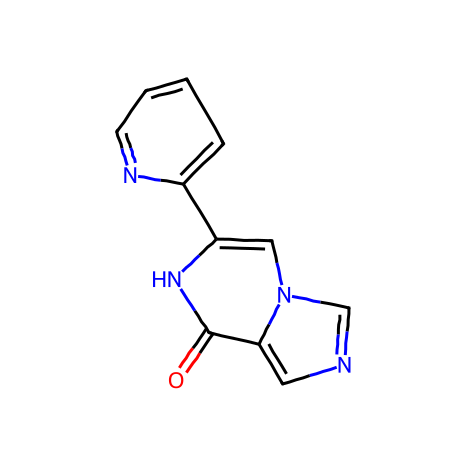 O=c1[nH]c(-c2ccccn2)cn2cncc12